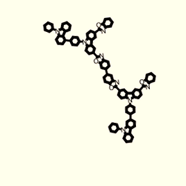 c1ccc(-n2c3ccccc3c3ccc(-c4ccc(-n5c6ccc(-c7nc8ccccc8o7)cc6c6cc(-c7nc8cc(-c9ccc%10nc(-c%11ccc%12c(c%11)c%11cc(-c%13nc%14ccccc%14o%13)ccc%11n%12-c%11ccc(-c%12cccc%13c%12c%12ccccc%12n%13-c%12ccccc%12)cc%11)oc%10c9)ccc8o7)ccc65)cc4)cc32)cc1